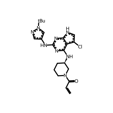 C=CC(=O)N1CCC[C@@H](Nc2nc(Nc3cnn(C(C)(C)C)c3)nc3[nH]cc(Cl)c23)C1